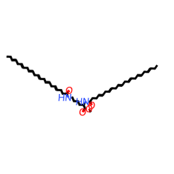 CCC=CCC=CCC=CCC=CCC=CCC=CCCC(=O)NCCCCC(NC(=O)CCC=CCC=CCC=CCC=CCC=CCC=CCC)C(=O)OC